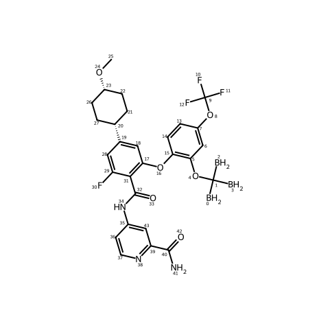 BC(B)(B)Oc1cc(OC(F)(F)F)ccc1Oc1cc([C@H]2CC[C@@H](OC)CC2)cc(F)c1C(=O)Nc1ccnc(C(N)=O)c1